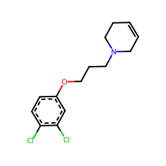 Clc1ccc(OCCCN2CC=CCC2)cc1Cl